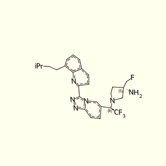 CC(C)CCc1cccc2ccc(-c3nnc4ccc([C@@H](N5CC[C@@](N)(CF)C5)C(F)(F)F)cn34)nc12